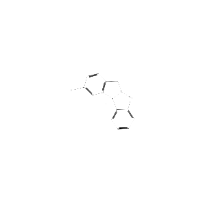 CC(C)(C)c1ccc2c(c1)[C@@H]1c3ccccc3N[C@@H]1C2